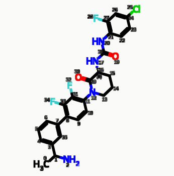 CC(N)c1cccc(-c2ccc(N3CCC[C@@H](NC(=O)Nc4ccc(Cl)cc4F)C3=O)c(F)c2F)c1